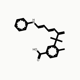 C=C(/C=C/C=C/Nc1ccccc1)C(C)(C)c1cc(C(=O)O)ccc1C